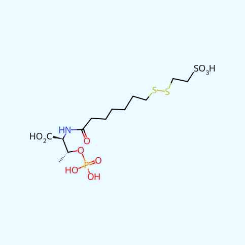 C[C@@H](OP(=O)(O)O)[C@H](NC(=O)CCCCCCSSCCS(=O)(=O)O)C(=O)O